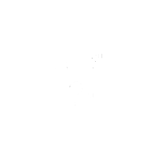 [2H]N(C)CC1Cc2ccccc2C(c2ccc(Cl)c(Cl)c2)C1